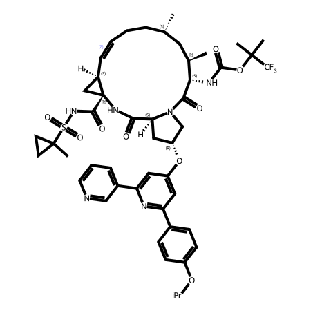 CC(C)Oc1ccc(-c2cc(O[C@@H]3C[C@H]4C(=O)N[C@]5(C(=O)NS(=O)(=O)C6(C)CC6)C[C@H]5/C=C\CC[C@H](C)C[C@@H](C)[C@H](NC(=O)OC(C)(C)C(F)(F)F)C(=O)N4C3)cc(-c3cccnc3)n2)cc1